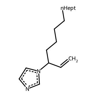 C=CC(CCCCCCCCCCC)n1ccnc1